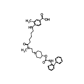 Cc1cc(C(=O)O)ccc1NCCCCCC(=O)N(C)CCN1CCC(OC(=O)Nc2ccccc2-c2ccccc2)CC1